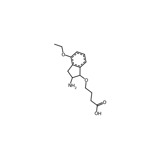 CCOc1cccc2c1CC(N)C2OCCCC(=O)O